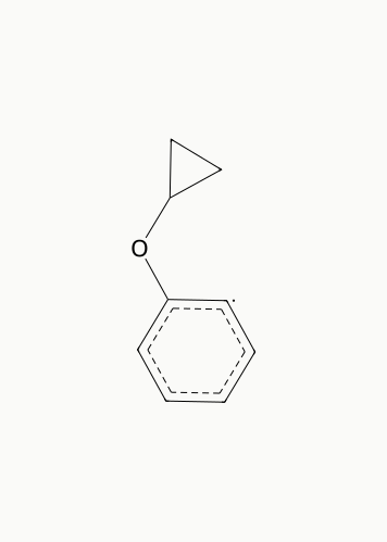 [c]1ccccc1OC1CC1